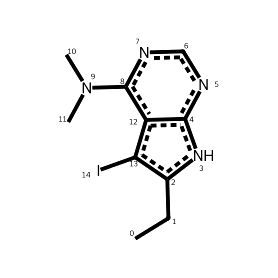 CCc1[nH]c2ncnc(N(C)C)c2c1I